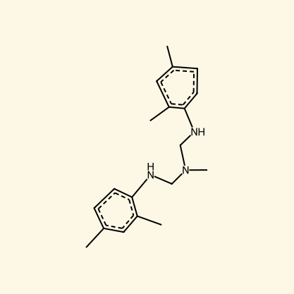 Cc1ccc(NCN(C)CNc2ccc(C)cc2C)c(C)c1